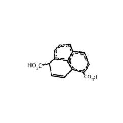 O=C(O)c1ccc2cccc3c2c1C=CC3C(=O)O